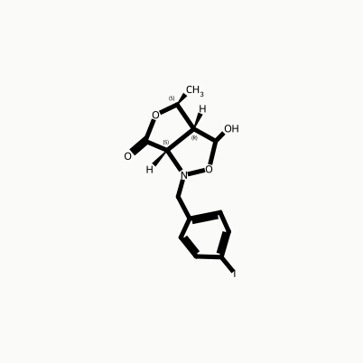 C[C@@H]1OC(=O)[C@@H]2[C@H]1C(O)ON2Cc1ccc(I)cc1